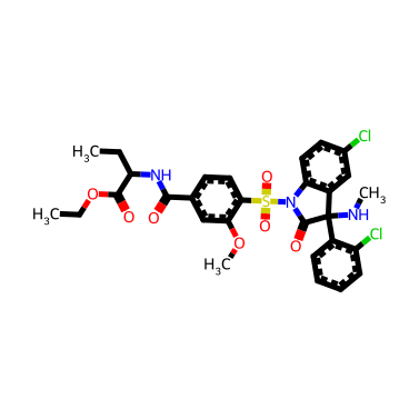 CCOC(=O)C(CC)NC(=O)c1ccc(S(=O)(=O)N2C(=O)C(NC)(c3ccccc3Cl)c3cc(Cl)ccc32)c(OC)c1